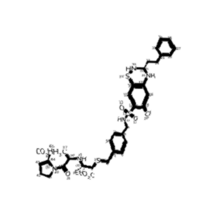 CCOC(=O)[C@@H](CSCc1ccc(CNS(=O)(=O)c2cc3c(cc2Cl)N[C@H](CCc2ccccc2)NS3)cc1)NC(C)C(=O)N1CCC[C@H]1C(=O)O